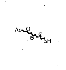 CC(=O)CCC(=O)CCC(=O)CCC(=O)CCS